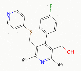 CC(C)c1nc(C(C)C)c(CSc2ccncc2)c(-c2ccc(F)cc2)c1CO